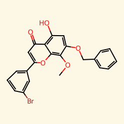 COc1c(OCc2ccccc2)cc(O)c2c(=O)cc(-c3cccc(Br)c3)oc12